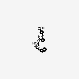 CC(OC[C@@H](O)CNC(C)(C)Cc1ccc2ccccc2c1)c1ccccc1NCc1ccc(C(=O)O)cc1